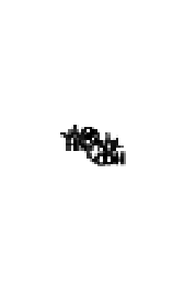 CC[C@@H](C)C(=O)N[C@H]1CCO[C@@]2(O)CC(C)(C)C(C)N2C1=O